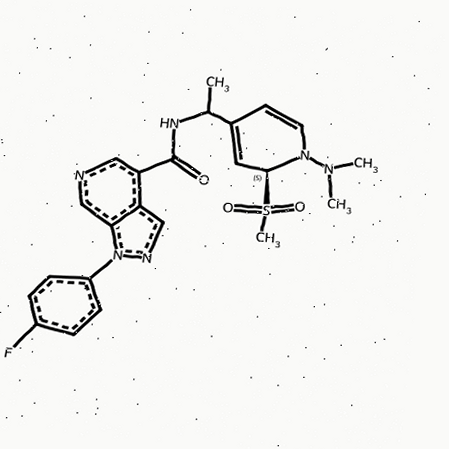 CC(NC(=O)c1cncc2c1cnn2-c1ccc(F)cc1)C1=C[C@H](S(C)(=O)=O)N(N(C)C)C=C1